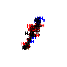 CC(C)(COP(=O)(O)OP(=O)(O)OC[C@H]1O[C@@H](n2cnc3c(N)ncnc32)[C@H](O)[C@@H]1OP(=O)(O)O)C(O)C(=O)NCCC(=O)NCC[SH](O)C(=O)c1ccccc1